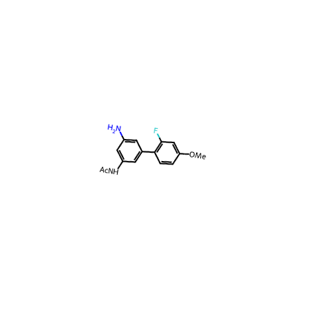 COc1ccc(-c2cc(N)cc(NC(C)=O)c2)c(F)c1